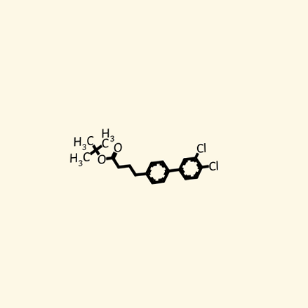 CC(C)(C)OC(=O)CCCc1ccc(-c2ccc(Cl)c(Cl)c2)cc1